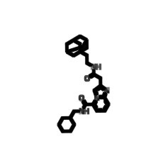 O=C(Cc1cn2c(C(=O)NCC3CCCCC3)cccc2n1)NCCC12CC3CC(CC(C3)C1)C2